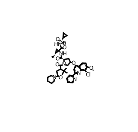 C=C[C@@H]1C[C@]1(NC(=O)[C@@H]1C[C@@H](Oc2cc(-c3ccccn3)nc3c(Cl)c(OC)ccc23)CN1C(=O)C(CC(=O)N1CCCCC1)C(C)(C)C)C(=O)NS(=O)(=O)C1CC1